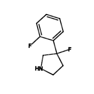 Fc1ccccc1C1(F)CCNC1